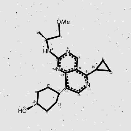 COC[C@H](C)Nc1ncc2c(C3CC3)ncc([C@H]3CC[C@H](O)CC3)c2n1